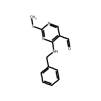 CSc1ncc(C=O)c(NCc2ccccc2)n1